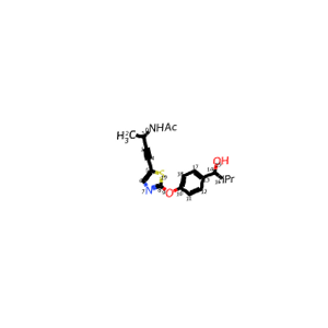 CC(=O)NC(C)C#Cc1cnc(Oc2ccc(C(O)C(C)C)cc2)s1